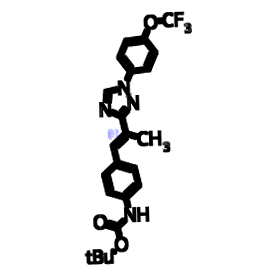 C/C(=C\c1ccc(NC(=O)OC(C)(C)C)cc1)c1ncn(-c2ccc(OC(F)(F)F)cc2)n1